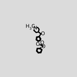 CN1CCC(C(=O)c2cccc(OS(=O)(=O)c3ccccc3)c2)CC1